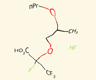 CCCOC(C)COC(F)(C(=O)O)C(F)(F)F.F